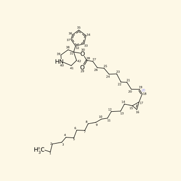 CCCCCCCCCCCCCCCC1C=C1/C=C\CCCCCCCCC(=O)OC1(c2ccccc2)CCNCC1